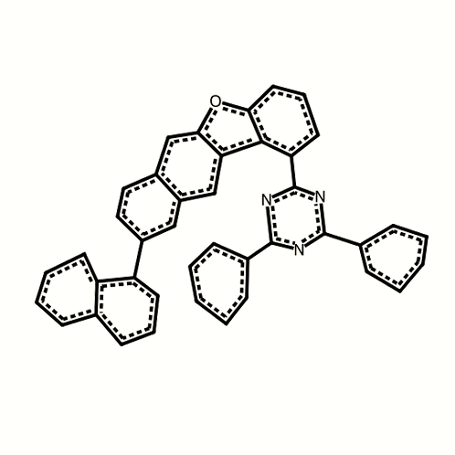 c1ccc(-c2nc(-c3ccccc3)nc(-c3cccc4oc5cc6ccc(-c7cccc8ccccc78)cc6cc5c34)n2)cc1